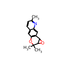 Cc1ccc2cc3c(cc2n1)C1OC1C(C)(C)O3